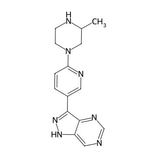 CC1CN(c2ccc(-c3n[nH]c4cncnc34)cn2)CCN1